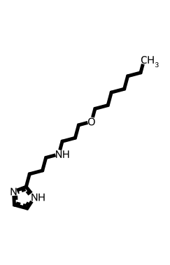 CCCCCCCOCCCNCCCc1ncc[nH]1